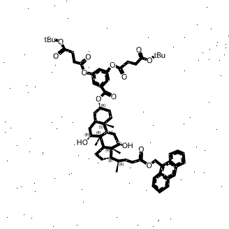 C[C@H](CCC(=O)OCc1c2ccccc2cc2ccccc12)[C@H]1CCC2[C@@]3(C)C(C[C@H](O)[C@@]21C)[C@@]1(C)CC[C@@H](OC(=O)c2cc(OC(=O)CCC(=O)OC(C)(C)C)cc(OC(=O)CCC(=O)OC(C)(C)C)c2)CC1C[C@H]3O